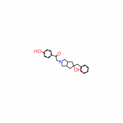 O=C(CN1CC2CC(O)(Cc3ccccc3)CC2C1)c1ccc(O)cc1